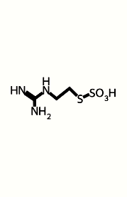 N=C(N)NCCSS(=O)(=O)O